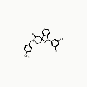 Cc1ccc(CN2CCC3(CC2=O)OC(c2cc(Cl)cc(Cl)c2)c2ccccc23)cc1